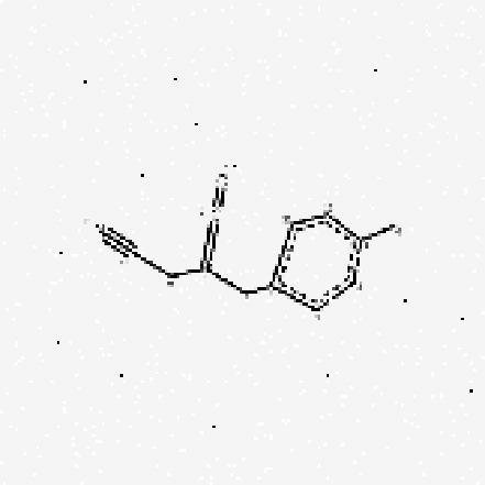 Cc1ccc(CC(=C=O)CC#N)cc1